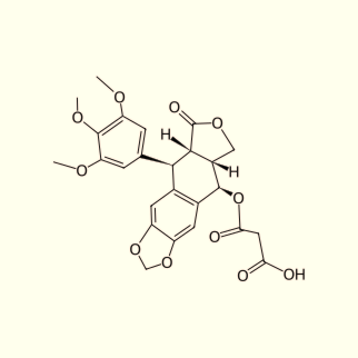 COc1cc([C@@H]2c3cc4c(cc3[C@H](OC(=O)CC(=O)O)[C@H]3COC(=O)[C@@H]23)OCO4)cc(OC)c1OC